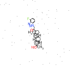 C[C@@]1(O)CC[C@@]2(C)[C@H](CC[C@@H]3[C@@H]2CC[C@]2(C)[C@@H](C(=O)Cn4nnc5c(F)cccc54)CC[C@@H]32)C1